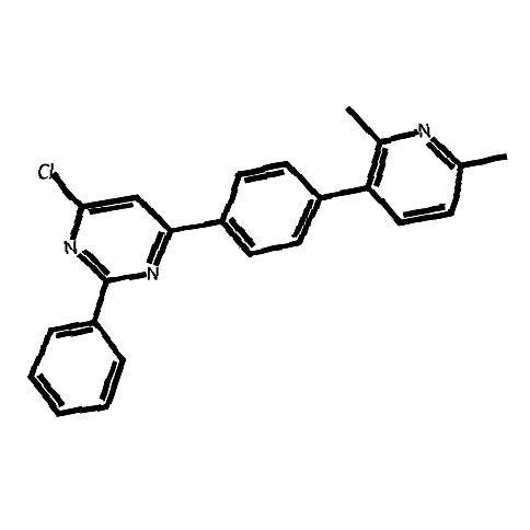 Cc1ccc(-c2ccc(-c3cc(Cl)nc(-c4ccccc4)n3)cc2)c(C)n1